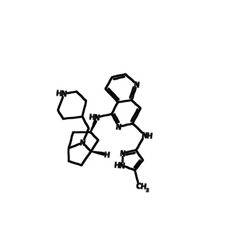 Cc1cc(Nc2cc3ncccc3c(N[C@@H]3CC4CC[C@@H](C3)N4CC3CCNCC3)n2)n[nH]1